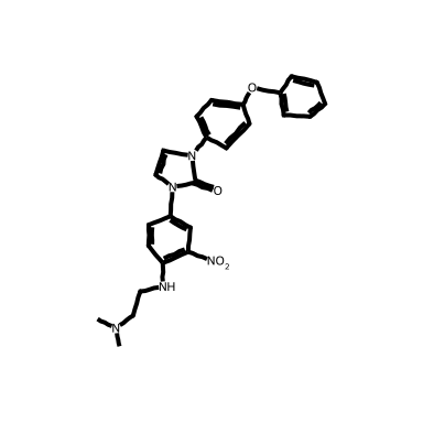 CN(C)CCNc1ccc(-n2ccn(-c3ccc(Oc4ccccc4)cc3)c2=O)cc1[N+](=O)[O-]